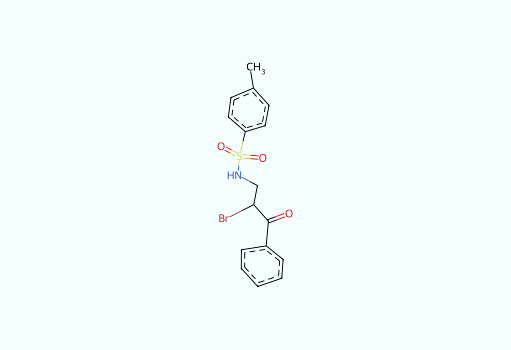 Cc1ccc(S(=O)(=O)NCC(Br)C(=O)c2ccccc2)cc1